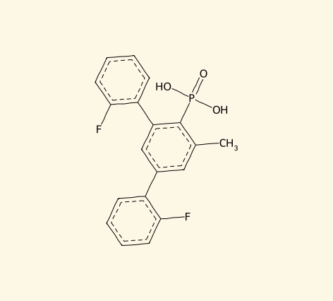 Cc1cc(-c2ccccc2F)cc(-c2ccccc2F)c1P(=O)(O)O